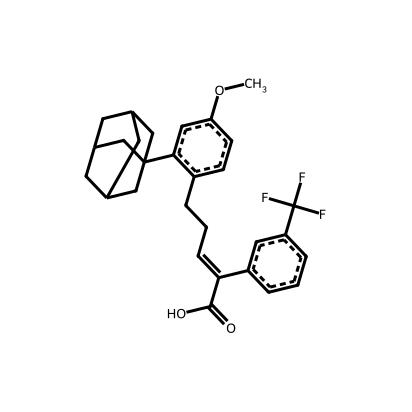 COc1ccc(CC/C=C(/C(=O)O)c2cccc(C(F)(F)F)c2)c(C23CC4CC(CC(C4)C2)C3)c1